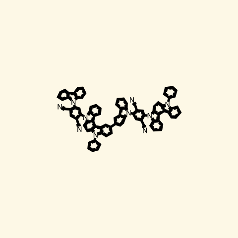 N#Cc1cc(-n2c3ccccc3c3c4c5ccccc5n(-c5ccccc5)c4ccc32)c(C#N)cc1-n1c2ccccc2c2cc(-c3ccc4c(c3)c3c5c6ccccc6n(-c6cc(-n7c8ccccc8c8ccccc87)c(C#N)cc6C#N)c5ccc3n4-c3ccccc3)ccc21